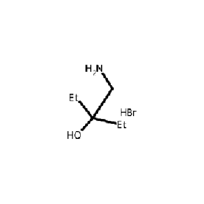 Br.CCC(O)(CC)CN